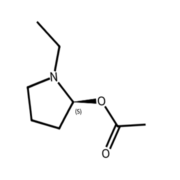 CCN1CCC[C@@H]1OC(C)=O